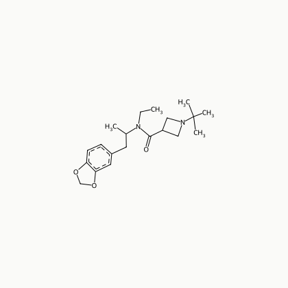 CCN(C(=O)C1CN(C(C)(C)C)C1)C(C)Cc1ccc2c(c1)OCO2